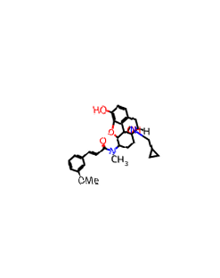 COc1cccc(/C=C/C(=O)N(C)C2CC[C@@]3(O)[C@H]4Cc5ccc(O)c6c5[C@@]3(CCN4CC3CC3)C2O6)c1